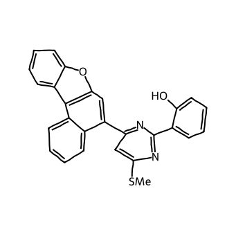 CSc1cc(-c2cc3oc4ccccc4c3c3ccccc23)nc(-c2ccccc2O)n1